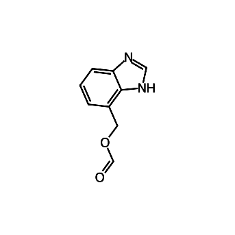 O=COCc1cccc2nc[nH]c12